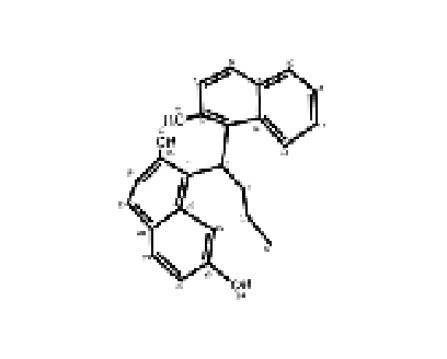 CCCC(c1c(O)ccc2ccccc12)c1c(O)ccc2ccc(O)cc12